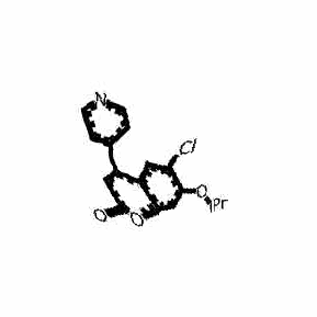 CC(C)Oc1cc2oc(=O)cc(-c3ccncc3)c2cc1Cl